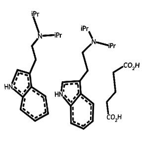 CC(C)N(CCc1c[nH]c2ccccc12)C(C)C.CC(C)N(CCc1c[nH]c2ccccc12)C(C)C.O=C(O)CCCC(=O)O